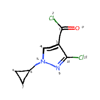 O=C(Cl)c1cn(C2CC2)nc1Cl